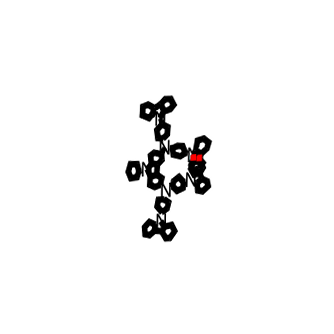 c1ccc(-n2c3ccc(N(c4ccc(-n5c6ccccc6c6ccccc65)cc4)c4ccc(-n5c6ccccc6c6ccccc65)cc4)cc3c3cc(N(c4ccc(-n5c6ccccc6c6ccccc65)cc4)c4ccc(-n5c6ccccc6c6ccccc65)cc4)ccc32)cc1